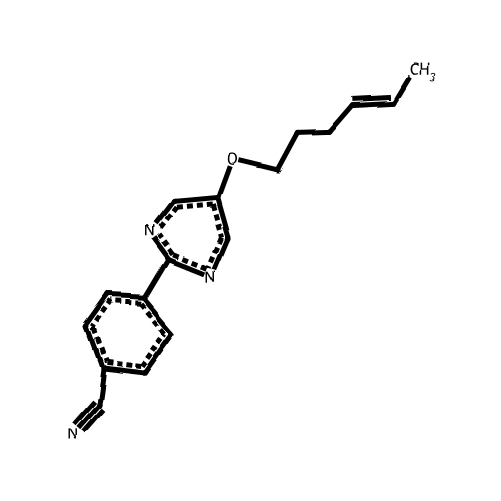 CC=CCCCOc1cnc(-c2ccc(C#N)cc2)nc1